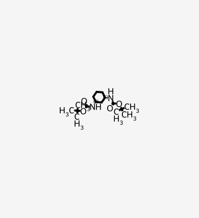 CC(C)(C)OC(=O)N[C@@H]1CCC[C@H](NC(=O)OC(C)(C)C)C1